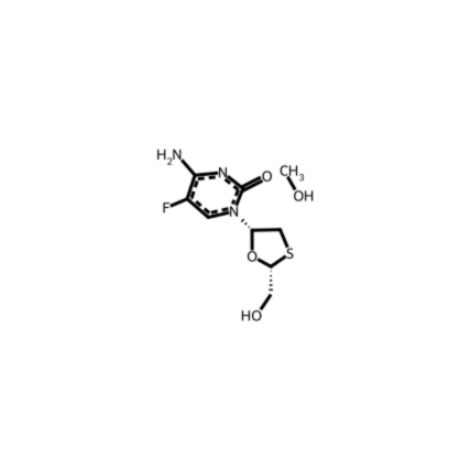 CO.Nc1nc(=O)n([C@@H]2CS[C@H](CO)O2)cc1F